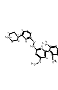 COc1cc(NSc2cccc(N3CCNCC3)n2)nc(-c2c(C)cccc2C)c1